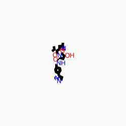 Cc1cc([C@H](C(=O)N2C[C@H](O)C[C@H]2C(=O)NCc2ccc(-c3ccnn3C)cc2)C(C)C)on1